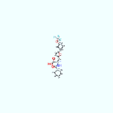 O=C(O)/C(=C\c1ccc(-c2cccc(OC(F)(F)F)c2)o1)NC(=O)c1ccccc1